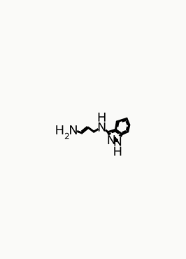 NC=CCNc1n[nH]c2ccccc12